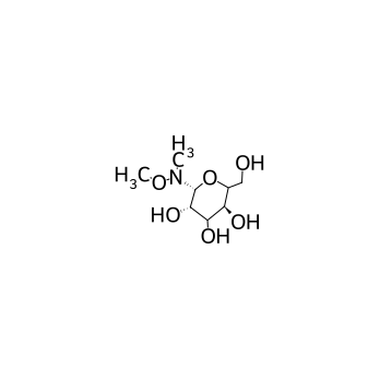 CON(C)[C@@H]1OC(CO)[C@@H](O)C(O)[C@@H]1O